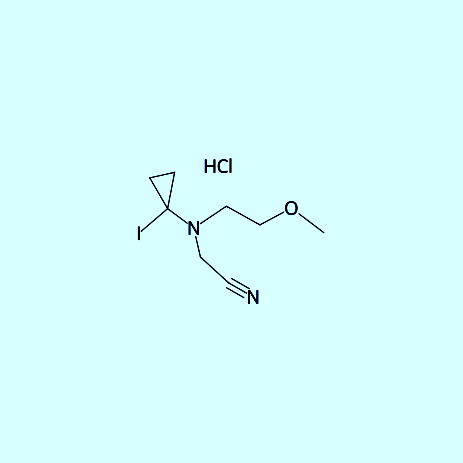 COCCN(CC#N)C1(I)CC1.Cl